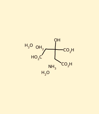 N.O.O.O.O=C(O)CC(O)(CC(=O)O)C(=O)O